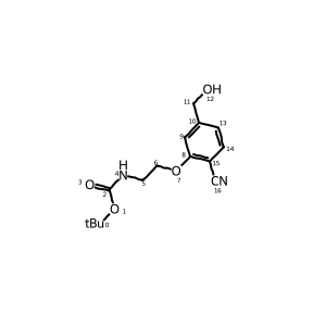 CC(C)(C)OC(=O)NCCOc1cc(CO)ccc1C#N